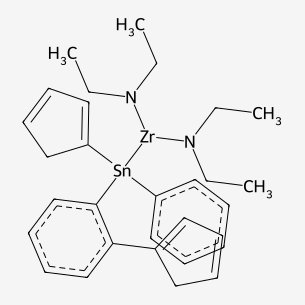 CC[N](CC)[Zr]([N](CC)CC)[Sn]([C]1=CC=CC1)([c]1ccccc1)[c]1ccccc1C1=CC=CC1